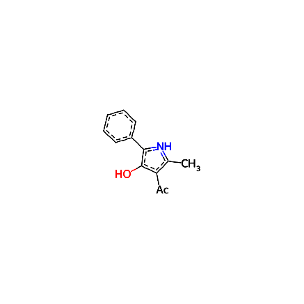 CC(=O)c1c(C)[nH]c(-c2ccccc2)c1O